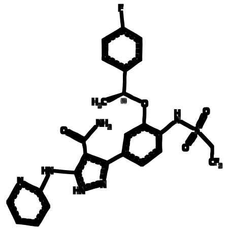 C[C@H](Oc1cc(-c2n[nH]c(Nc3ccccn3)c2C(N)=O)ccc1NS(=O)(=O)CC(F)(F)F)c1ccc(F)cc1